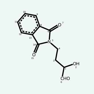 O=CC(O)CCN1C(=O)c2ccccc2C1=O